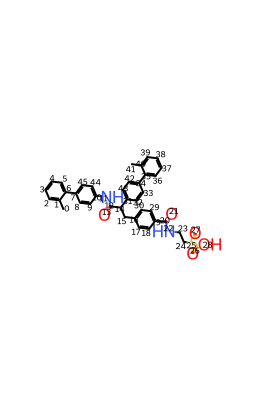 Cc1ccccc1-c1ccc(NC(=O)C(Cc2ccc(C(=O)NCCS(=O)(=O)O)cc2)c2ccc(-c3ccccc3C)cc2)cc1